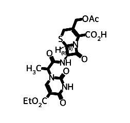 CCOC(=O)c1cn(C(C)C(=O)N[C@@H]2C(=O)N3C(C(=O)O)=C(COC(C)=O)CS[C@H]23)c(=O)[nH]c1=O